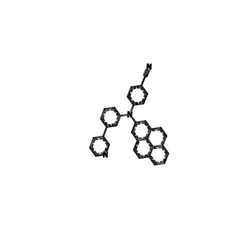 N#Cc1ccc(N(c2cccc(-c3cccnc3)c2)c2cc3ccc4cccc5ccc(c2)c3c45)cc1